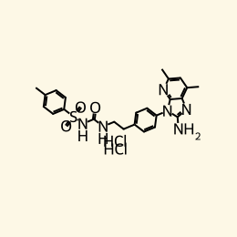 Cc1ccc(S(=O)(=O)NC(=O)NCCc2ccc(-n3c(N)nc4c(C)cc(C)nc43)cc2)cc1.Cl.Cl